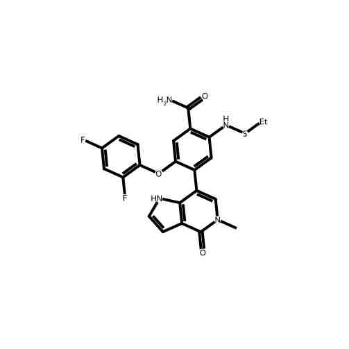 CCSNc1cc(-c2cn(C)c(=O)c3cc[nH]c23)c(Oc2ccc(F)cc2F)cc1C(N)=O